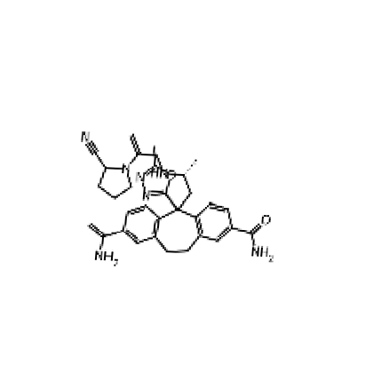 C=C(N)c1ccc2c(c1)CCc1cc(C(N)=O)ccc1C2(C[C@@H](C)NCC(=C)N1CCCC1C#N)c1nnc(C)o1